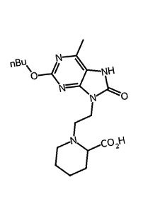 CCCCOc1nc(C)c2[nH]c(=O)n(CCN3CCCCC3C(=O)O)c2n1